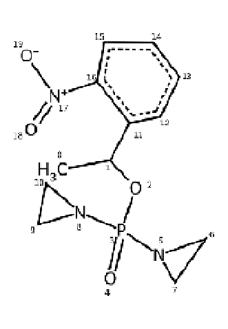 CC(OP(=O)(N1CC1)N1CC1)c1ccccc1[N+](=O)[O-]